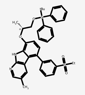 CCS(=O)(=O)c1cccc(-c2ccc(O[C@H](C)CO[Si](c3ccccc3)(c3ccccc3)C(C)(C)C)c3[nH]c4ncc(C)cc4c23)c1